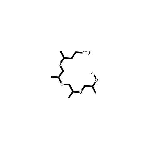 C[CH]COC(C)COC(C)COC(C)COC(C)CCC(=O)O